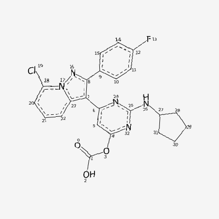 O=C(O)Oc1cc(-c2c(-c3ccc(F)cc3)nn3c(Cl)cccc23)nc(NC2CCCC2)n1